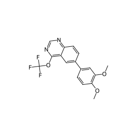 COc1ccc(-c2ccc3ncnc(OC(F)(F)F)c3c2)cc1OC